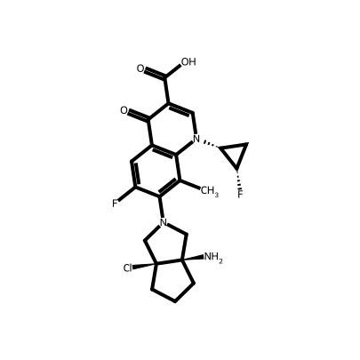 Cc1c(N2C[C@]3(N)CCC[C@]3(Cl)C2)c(F)cc2c(=O)c(C(=O)O)cn([C@@H]3C[C@@H]3F)c12